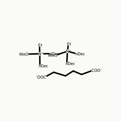 CCCCCCCCCC[N+](CC)(CCCCCCCCCC)OC.CCCCCCCCCC[N+](CC)(CCCCCCCCCC)OC.O=C([O-])CCCCC(=O)[O-]